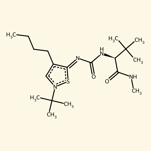 CCCCc1cn(C(C)(C)C)s/c1=N\C(=O)N[C@H](C(=O)NC)C(C)(C)C